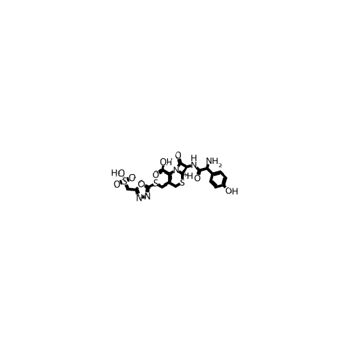 NC(C(=O)NC1C(=O)N2C(C(=O)O)=C(CSc3nnc(CS(=O)(=O)O)o3)CS[C@H]12)c1ccc(O)cc1